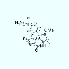 COc1cc(C)c2[nH]c(=O)c3sc(F)cc3c2c1-c1ccc([C@@H](C)CN)cc1